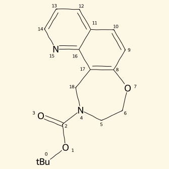 CC(C)(C)OC(=O)N1CCOc2ccc3cccnc3c2C1